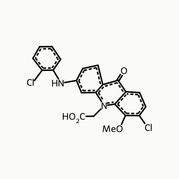 COc1c(Cl)ccc2c(=O)c3ccc(Nc4ccccc4Cl)cc3n(CC(=O)O)c12